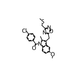 COc1ccc2c(c1)c(Cc1nc(CSC)no1)c(C)n2C(=O)c1ccc(Cl)cc1